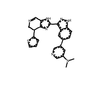 CN(C)c1cncc(-c2ccc3[nH]nc(-c4nc5c([nH]4)C=NCC5c4cccs4)c3c2)c1